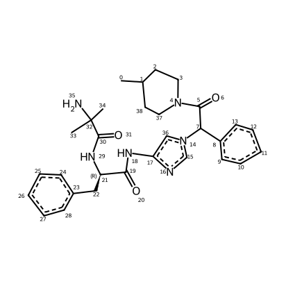 CC1CCN(C(=O)C(c2ccccc2)n2cnc(NC(=O)[C@@H](Cc3ccccc3)NC(=O)C(C)(C)N)c2)CC1